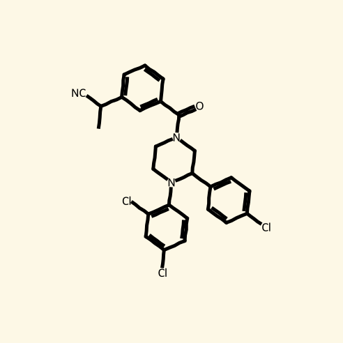 CC(C#N)c1cccc(C(=O)N2CCN(c3ccc(Cl)cc3Cl)C(c3ccc(Cl)cc3)C2)c1